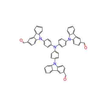 O=Cc1ccc2c(c1)c1ccccc1n2-c1ccc(N(c2ccc(-n3c4ccccc4c4cc(C=O)ccc43)cc2)c2ccc(-n3c4ccccc4c4cc(C=O)ccc43)cc2)cc1